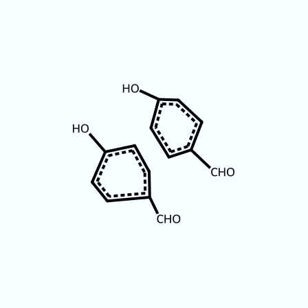 O=Cc1ccc(O)cc1.O=Cc1ccc(O)cc1